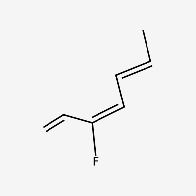 C=C/C(F)=C\C=C\C